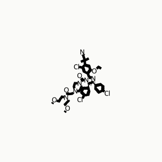 CCOc1cc(C(C)(C)C#N)c(Cl)cc1C1=N[C@@H](c2ccc(Cl)cc2)[C@@H](c2ccc(Cl)cc2)N1C(=O)N1CCN(CC(=O)N(CCOC)CCOC)CC1